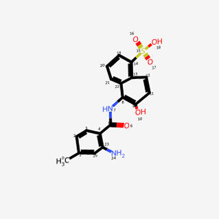 Cc1ccc(C(=O)Nc2c(O)ccc3c(S(=O)(=O)O)cccc23)c(N)c1